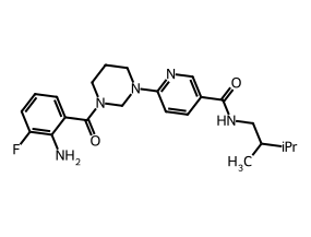 CC(C)C(C)CNC(=O)c1ccc(N2CCCN(C(=O)c3cccc(F)c3N)C2)nc1